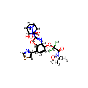 CON(C)C(=O)C(F)(F)Oc1ccc(-c2cscn2)c2oc(N3CC4CC(C3)N4C(=O)O)nc12